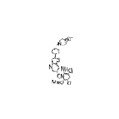 COc1cc(Nc2c(C#N)cnc3cc(-c4ccc(CN5CC[S+]([O-])CC5)cc4)sc23)c(Cl)cc1Cl